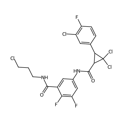 O=C(NCCCCl)c1cc(NC(=O)C2C(c3ccc(F)c(Cl)c3)C2(Cl)Cl)cc(F)c1F